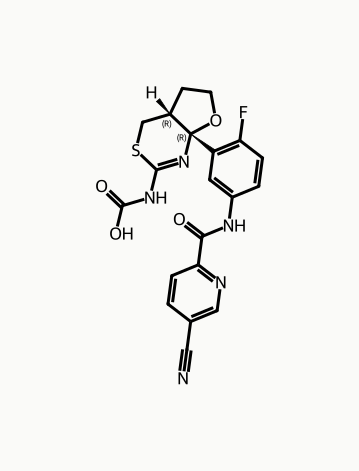 N#Cc1ccc(C(=O)Nc2ccc(F)c([C@@]34N=C(NC(=O)O)SC[C@@H]3CCO4)c2)nc1